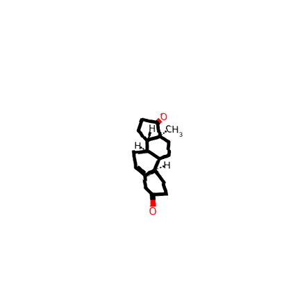 C[C@]12CCC3[C@@H](CC=C4CC(=O)CC[C@@H]43)[C@@H]1CCC2=O